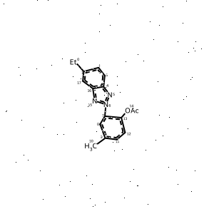 CCc1ccc2nn(-c3cc(C)ccc3OC(C)=O)nc2c1